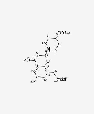 COC1CCN(c2cc(=O)c3cc(C)cc(CCBr)c3o2)CC1